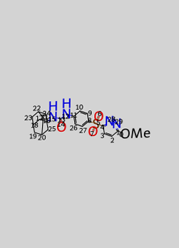 COc1ccc(S(=O)(=O)c2ccc(NC(=O)NC34CC5CC(CC(C5)C3)C4)cc2)nn1